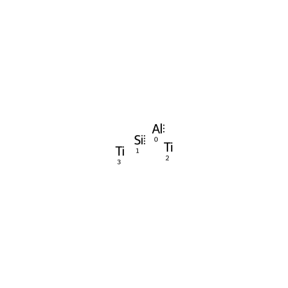 [Al].[Si].[Ti].[Ti]